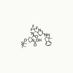 CN(C(=O)[C@@H]1C[C@@H](O[Si](C)(C)C(C)(C)C)CN1C(=O)O)[C@@H](c1ccc(NC2Cc3ccccc3C2(C)C)cn1)C(F)(F)F